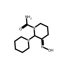 NC(=O)N1CCCC(=NO)C1N1CCCCC1